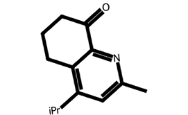 Cc1cc(C(C)C)c2c(n1)C(=O)CCC2